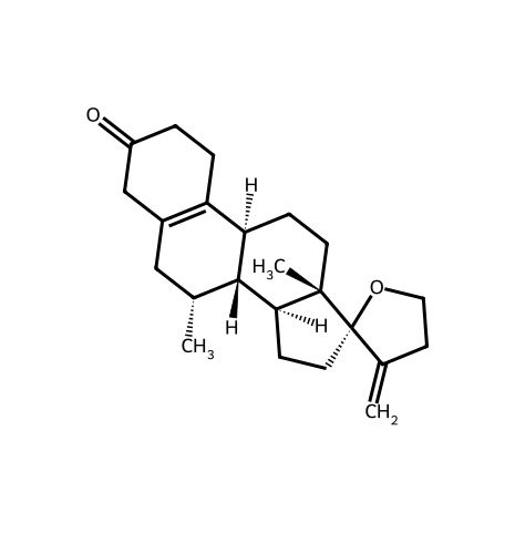 C=C1CCO[C@@]12CC[C@H]1[C@@H]3[C@H](C)CC4=C(CCC(=O)C4)[C@H]3CC[C@@]12C